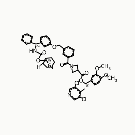 COc1ccc([C@H](Cc2c(Cl)cncc2Cl)OC(=O)C2CN(C(=O)c3cccc(COc4cccc([C@@H](NC(=O)O[C@H]5CN6CCC5CC6)c5ccccc5)c4)c3)C2)cc1OC